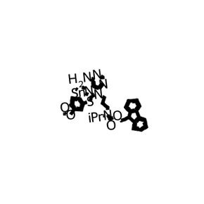 CC(C)N(CCCn1c(Sc2cc3c(c[c]2[Sn]([CH3])([CH3])[CH3])OCO3)nc2c(N)ncnc21)C(=O)OCC1c2ccccc2-c2ccccc21